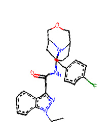 CCn1nc(C(=O)NC2CC3COCC(C2)N3Cc2ccc(F)cc2)c2ccccc21